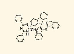 CC1(c2ccc3c(c2)C2(c4ccccc4-3)c3ccc4ccccc4c3Sc3c2ccc2ccccc32)N=C(c2ccccc2)N=C(c2ccccc2)N1